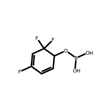 OB(O)OC1C=CC(F)=CC1(F)F